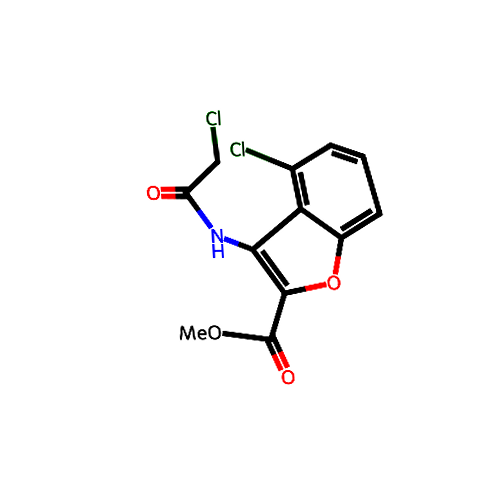 COC(=O)c1oc2cccc(Cl)c2c1NC(=O)CCl